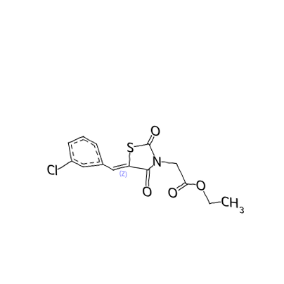 CCOC(=O)CN1C(=O)S/C(=C\c2cccc(Cl)c2)C1=O